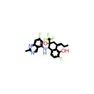 CC/C=C1/C[C@@](O)(C(F)(F)F)[C@@H](Nc2cc(F)cc3nc(C)ncc23)c2ccc(F)c(O)c21